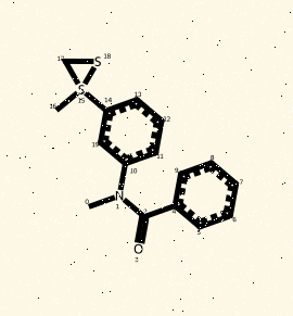 CN(C(=O)c1ccccc1)c1cccc(S2(C)CS2)c1